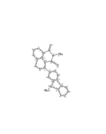 CC(C)(C)N1C(=O)c2cccc3ccc(-c4ccc5c6ccccc6n(C(C)(C)C)c5c4)c(c23)C1=O